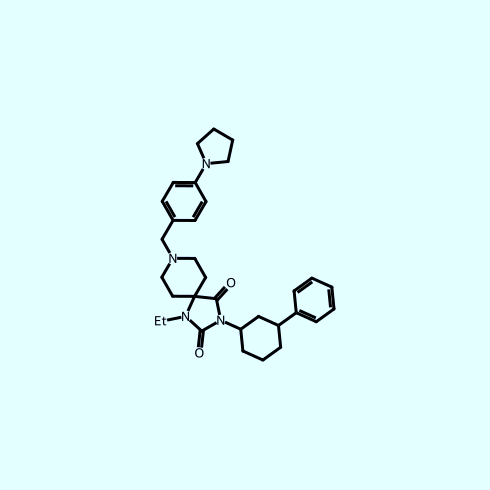 CCN1C(=O)N(C2CCCC(c3ccccc3)C2)C(=O)C12CCN(Cc1ccc(N3CCCC3)cc1)CC2